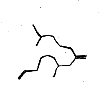 C=C(CCCC(C)C)CC(C)CCCCC